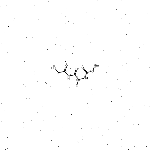 C[C@H](NC(=O)OC(C)(C)C)C(=O)NC(=O)CO